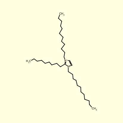 CCCCCCCCCCCCn1cc[n+](CCCCCCCCCCCC)c1CCCCCCCCC